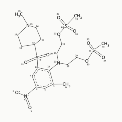 Cc1cc([N+](=O)[O-])cc(S(=O)(=O)C2CCN(C)CC2)c1N(CCOS(C)(=O)=O)CCOS(C)(=O)=O